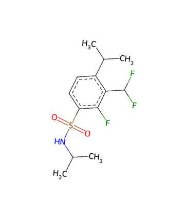 CC(C)NS(=O)(=O)c1ccc(C(C)C)c(C(F)F)c1F